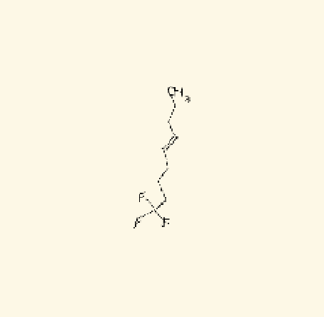 CCCC=CCCCC(F)(F)F